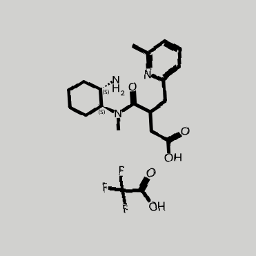 Cc1cccc(CC(CC(=O)O)C(=O)N(C)[C@H]2CCCC[C@@H]2N)n1.O=C(O)C(F)(F)F